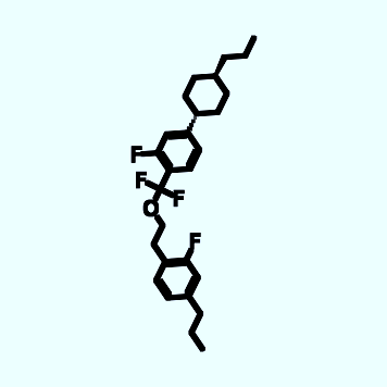 CCCc1ccc(CCOC(F)(F)c2ccc([C@H]3CC[C@H](CCC)CC3)cc2F)c(F)c1